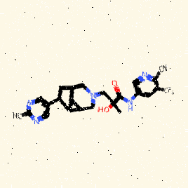 CC(O)(CN1CC2CC(c3cnc(C#N)nc3)C3C(C1)C23)C(=O)Nc1cnc(C#N)c(C(F)(F)F)c1